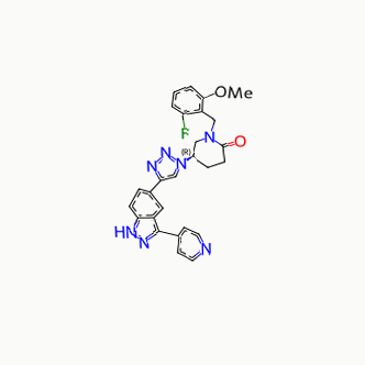 COc1cccc(F)c1CN1C[C@H](n2cc(-c3ccc4[nH]nc(-c5ccncc5)c4c3)nn2)CCC1=O